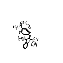 CN(C)c1ccc(/C=C2\C(=N)c3ccccc3C2=C(C#N)C#N)cc1I